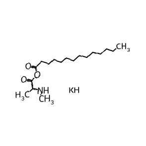 CCCCCCCCCCCCCC(=O)OC(=O)C(C)NC.[KH]